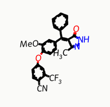 COc1cc(C(=C2C(=O)NN=C2C)c2ccccc2)ccc1Oc1ccc(C#N)c(C(F)(F)F)c1